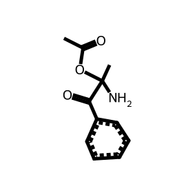 CC(=O)OC(C)(N)C(=O)c1ccccc1